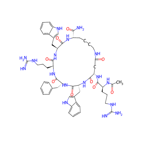 CC(=O)N[C@@H](CCCNC(=N)N)C(=O)N[C@H]1CC(=O)NCCCC[C@@H](C(N)=O)NC(=O)[C@H](Cc2c[nH]c3ccccc23)NC(=O)[C@H](CCCNC(=N)N)NC(=O)[C@@H](Cc2ccccc2)NC(=O)[C@@H](Cc2c[nH]c3ccccc23)NC1=O